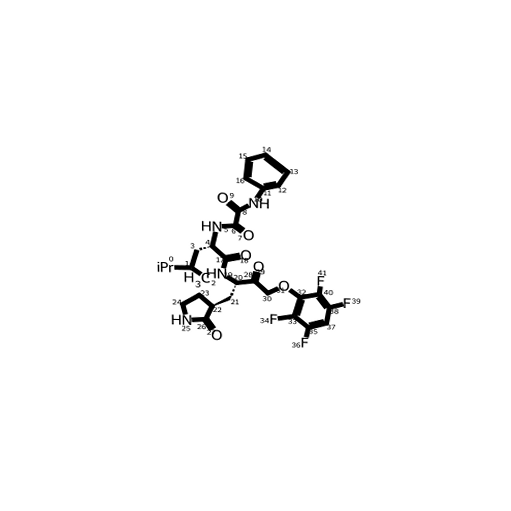 CC(C)C(C)C[C@H](NC(=O)C(=O)Nc1ccccc1)C(=O)N[C@@H](C[C@@H]1CCNC1=O)C(=O)COc1c(F)c(F)cc(F)c1F